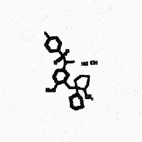 COc1ccc(N(C)S(=O)(=O)c2ccc(C)cc2)cc1CC1(c2ccccc2)CCCCN1N.Cl.Cl